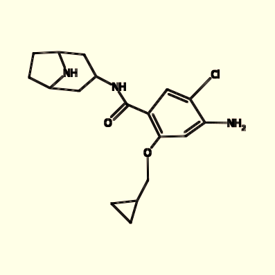 Nc1cc(OCC2CC2)c(C(=O)NC2CC3CCC(C2)N3)cc1Cl